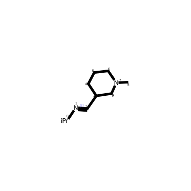 CC(C)/N=C/C1CCCN(C)C1